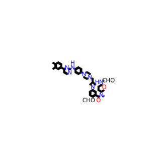 Cc1ccc(-c2ccnc(Nc3ccc(N4CCN(CC5CN(c6ccc(C=O)c(C(=O)N(C)C(C)CCC(=O)NC=O)c6)C5)CC4)cc3)n2)cc1C